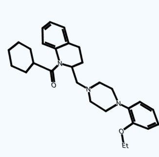 CCOc1cc(Cl)ccc1N1CCN(CC2CCc3ccccc3N2C(=O)C2CCCCC2)CC1